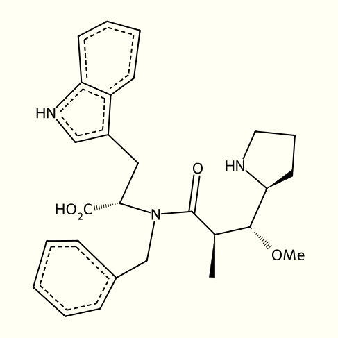 CO[C@@H]([C@@H]1CCCN1)[C@@H](C)C(=O)N(Cc1ccccc1)[C@@H](Cc1c[nH]c2ccccc12)C(=O)O